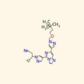 C[Si](C)(C)CCOCn1cc(-c2cc3nccn3c(-c3cnn(C(CC#N)C4CC4)c3)n2)cn1